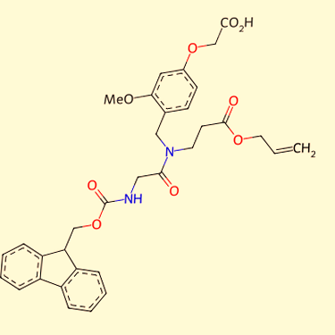 C=CCOC(=O)CCN(Cc1ccc(OCC(=O)O)cc1OC)C(=O)CNC(=O)OCC1c2ccccc2-c2ccccc21